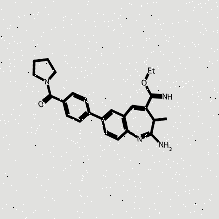 CCOC(=N)C1=Cc2cc(-c3ccc(C(=O)N4CCCC4)cc3)ccc2N=C(N)C1C